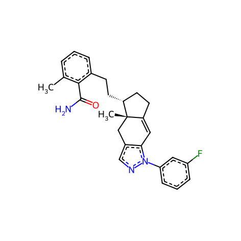 Cc1cccc(CC[C@@H]2CCC3=Cc4c(cnn4-c4cccc(F)c4)C[C@@]32C)c1C(N)=O